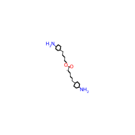 Nc1ccc(CC=CC=[C]C(=O)OC=CC=CCc2ccc(N)cc2)cc1